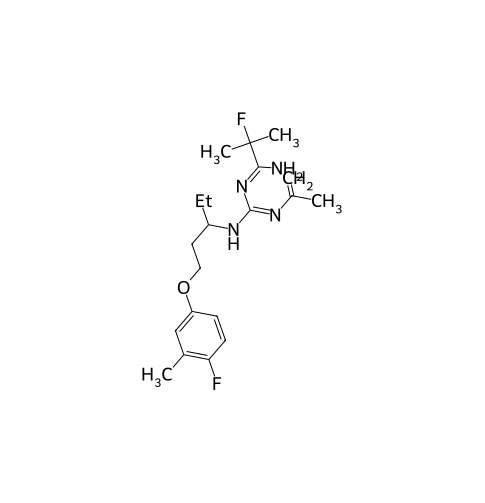 C=C(C)/N=C(\N=C(/N)C(C)(C)F)NC(CC)CCOc1ccc(F)c(C)c1